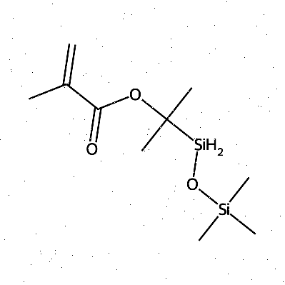 C=C(C)C(=O)OC(C)(C)[SiH2]O[Si](C)(C)C